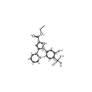 CCOC(=O)c1cc(-c2ccccn2)n(-c2ccc(C(F)(F)F)c(F)c2)n1